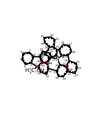 CC1(C)c2ccccc2-c2ccc(N(c3ccccc3-c3ccccc3)c3ccccc3-c3cccc4oc5c6ccccc6ccc5c34)cc21